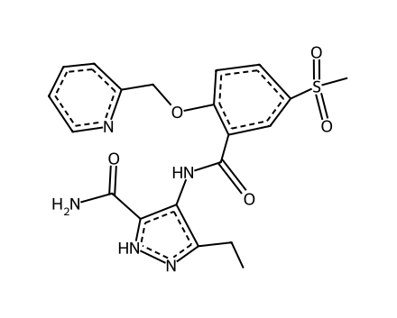 CCc1n[nH]c(C(N)=O)c1NC(=O)c1cc(S(C)(=O)=O)ccc1OCc1ccccn1